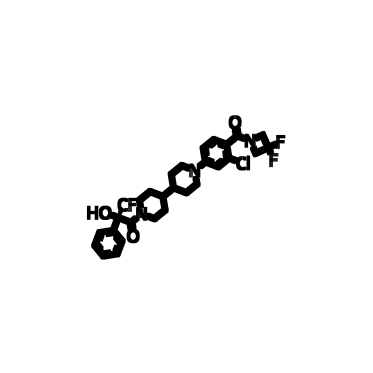 O=C(c1ccc(N2CCC(C3CCN(C(=O)[C@](O)(c4ccccc4)C(F)(F)F)CC3)CC2)cc1Cl)N1CC(F)(F)C1